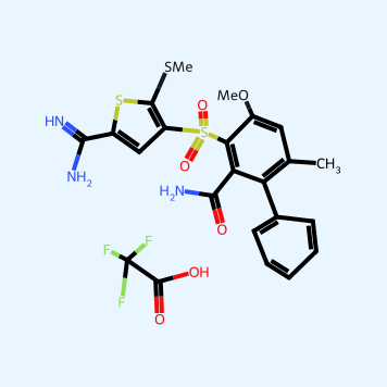 COc1cc(C)c(-c2ccccc2)c(C(N)=O)c1S(=O)(=O)c1cc(C(=N)N)sc1SC.O=C(O)C(F)(F)F